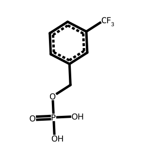 O=P(O)(O)OCc1cccc(C(F)(F)F)c1